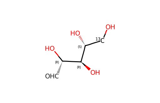 O=[13CH][C@H](O)[C@H](O)[C@H](O)[13CH2]O